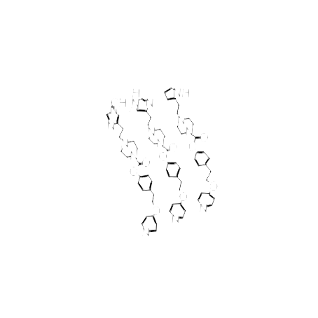 Cn1cnc(CCN2CCN(C(=O)Oc3ccc(CCOc4ccncc4)cc3)CC2)c1.O=C(Oc1ccc(CCOc2ccncc2)cc1)N1CCN(CCc2c[nH]cn2)CC1.O=C(Oc1ccc(CCOc2ccncc2)cc1)N1CCN(CCc2ccc[nH]2)CC1